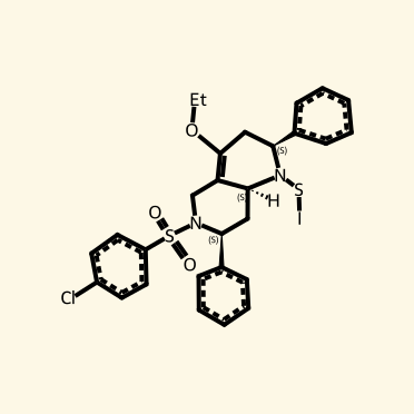 CCOC1=C2CN(S(=O)(=O)c3ccc(Cl)cc3)[C@H](c3ccccc3)C[C@@H]2N(SI)[C@H](c2ccccc2)C1